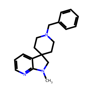 CN1CC2(CCN(Cc3ccccc3)CC2)c2cccnc21